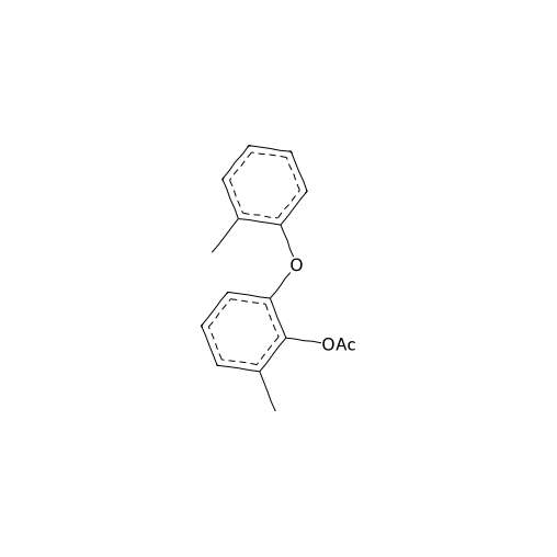 CC(=O)Oc1c(C)cccc1Oc1ccccc1C